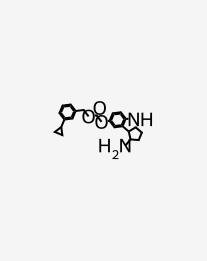 NC1CCC2Nc3ccc(OC(=O)OCc4cccc(C5CC5)c4)cc3C12